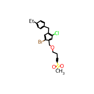 CCc1ccc(Cc2cc(Br)c(COCCC#CS(C)(=O)=O)cc2Cl)cc1